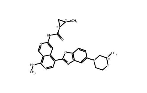 CNc1ncc(-c2nc3cc(N4CCO[C@H](C)C4)ccc3o2)c2cc(NC(=O)[C@H]3C[C@H]3C)ncc12